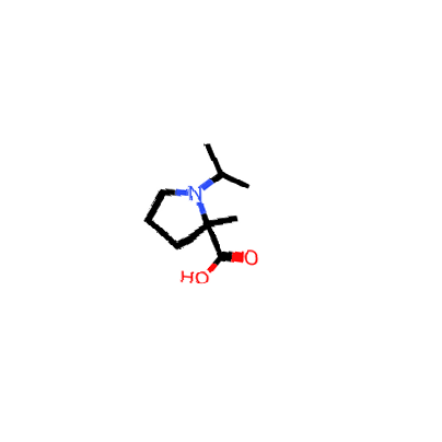 CC(C)N1CCCC1(C)C(=O)O